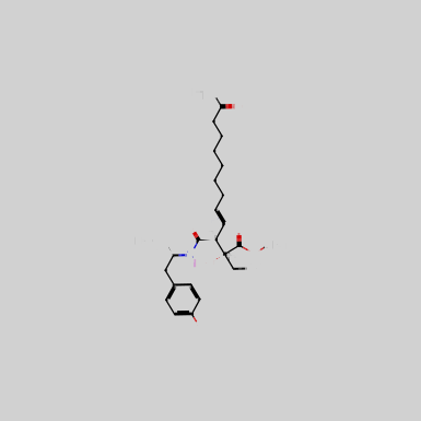 CCCCCCCC(=O)CCCCCC/C=C/[C@H](C(=O)N[C@@H](Cc1ccc(O)cc1)C(=O)O)[C@@](O)(CC(=O)O)C(=O)OC(C)(C)C